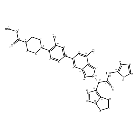 CC(C)(C)OC(=O)N1CCN(c2ccc(-c3cc(Cl)c4cn([C@H](C(=O)Nc5nccs5)c5ncn6c5CCC6)nc4c3)cc2Cl)CC1